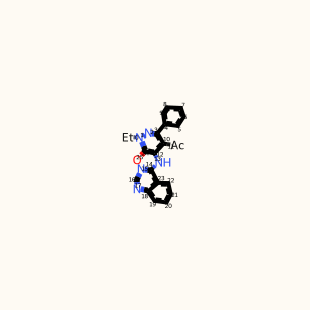 CCn1nc(-c2ccccc2)c(C(C)=O)c(Nc2ncnc3ccccc23)c1=O